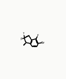 CC1c2ccc(Br)c(F)c2CC1(F)F